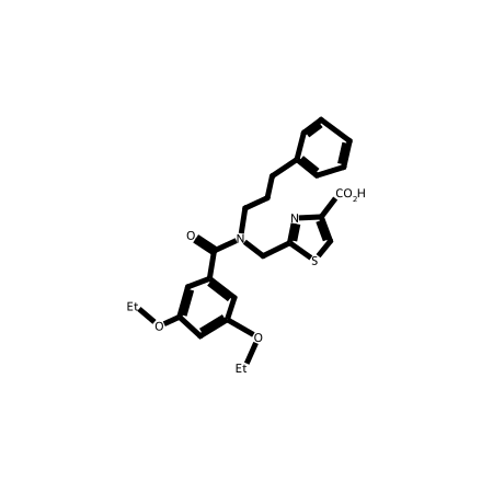 CCOc1cc(OCC)cc(C(=O)N(CCCc2ccccc2)Cc2nc(C(=O)O)cs2)c1